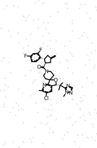 C=C1C[C@@H](C(=O)N2CCC3(CC2)O[C@H](C(C)(C)c2ncnn2C)c2cc(Cl)c(C)nc23)[C@H](c2ccc(F)cc2F)C1